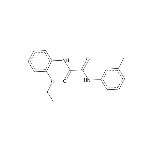 CCOc1ccccc1NC(=O)C(=O)Nc1cccc(C)c1